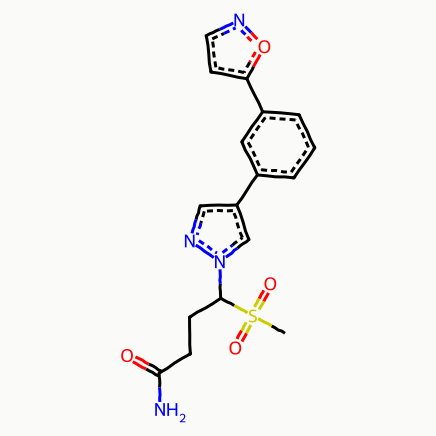 CS(=O)(=O)C(CCC(N)=O)n1cc(-c2cccc(-c3ccno3)c2)cn1